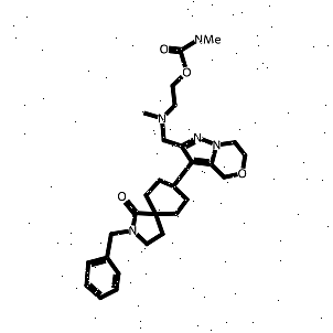 CNC(=O)OCCN(C)Cc1nn2c(c1C1CCC3(CC1)CCN(Cc1ccccc1)C3=O)COCC2